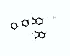 O=C(O)c1ccc2c(c1)C(=O)NC2=O.O=C(O)c1ccc2c(c1)C(=O)NC2=O.c1ccc(Oc2ccccc2)cc1